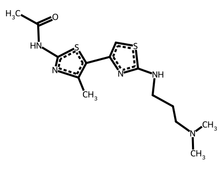 CC(=O)Nc1nc(C)c(-c2csc(NCCCN(C)C)n2)s1